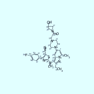 CCc1nn2c(C)cc(N3CCN(CC(=O)N4CC(O)C4)CC3)cc2c1N(C)c1nc(-c2ccc(F)cc2)c(C#N)s1